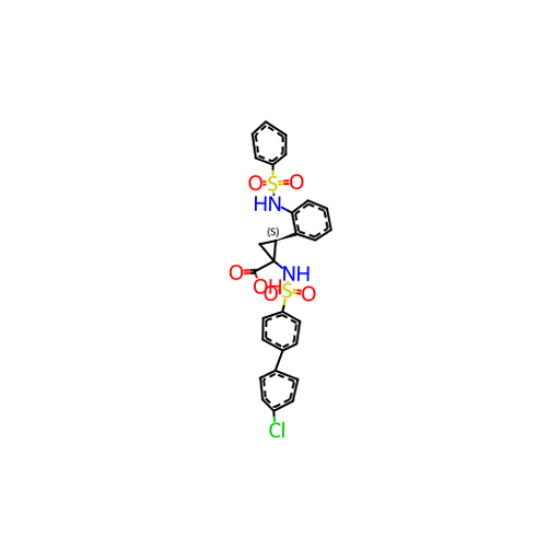 O=C(O)C1(NS(=O)(=O)c2ccc(-c3ccc(Cl)cc3)cc2)C[C@H]1c1ccccc1NS(=O)(=O)c1ccccc1